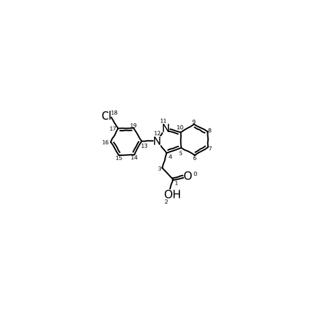 O=C(O)Cc1c2ccccc2nn1-c1cccc(Cl)c1